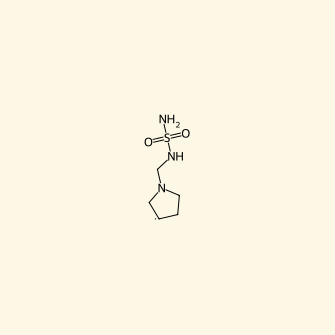 NS(=O)(=O)NCN1C[CH]CC1